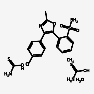 C.Cc1nc(-c2ccc(Cl)cc2)c(-c2ccccc2S(N)(=O)=O)o1.NC(O)=S.NC(O)=S.O